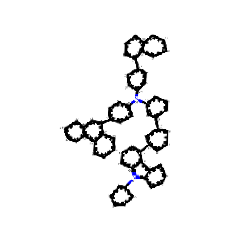 c1ccc(-n2c3ccccc3c3c(-c4cccc(-c5cccc(N(c6ccc(-c7cccc8ccccc78)cc6)c6ccc(-c7cc8ccccc8c8ccccc78)cc6)c5)c4)cccc32)cc1